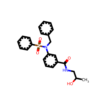 CC(O)CNC(=O)c1cccc(N(Cc2ccccc2)S(=O)(=O)c2ccccc2)c1